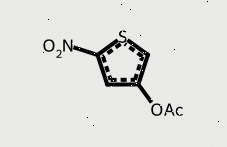 CC(=O)Oc1csc([N+](=O)[O-])c1